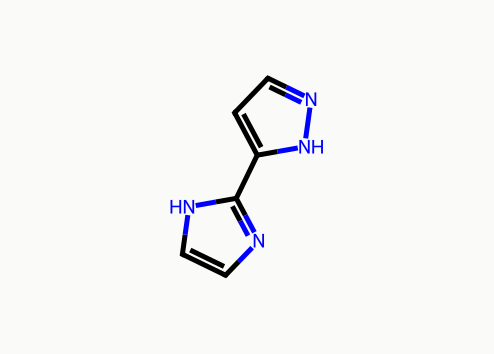 c1cc(-c2ncc[nH]2)[nH]n1